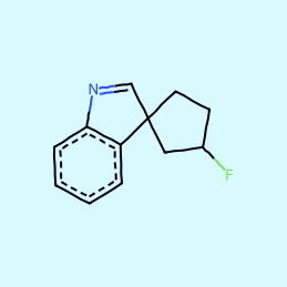 FC1CCC2(C=Nc3ccccc32)C1